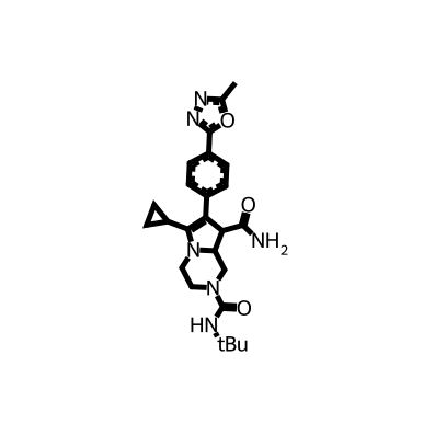 Cc1nnc(-c2ccc(C3=C(C4CC4)N4CCN(C(=O)NC(C)(C)C)CC4C3C(N)=O)cc2)o1